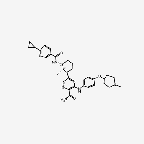 C[C@@H]1[C@H](NC(=O)c2ccc(C3CC3)nc2)CCCN1c1cnc(C(N)=O)c(Nc2ccc(OC3CCN(C)CC3)cc2)n1